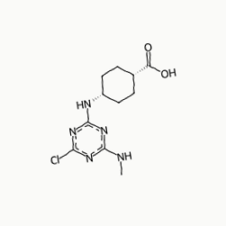 CNc1nc(Cl)nc(N[C@H]2CC[C@@H](C(=O)O)CC2)n1